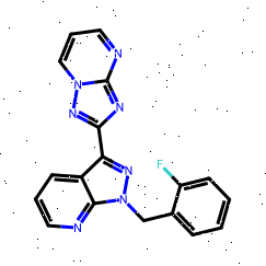 Fc1ccccc1Cn1nc(-c2nc3ncccn3n2)c2cccnc21